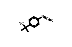 CC(C)(C#N)c1ccc(N=C=S)cc1